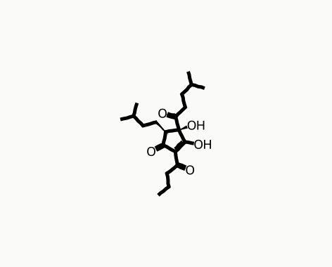 CCCC(=O)C1=C(O)[C@@](O)(C(=O)CCC(C)C)[C@H](CCC(C)C)C1=O